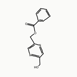 O=C(OCc1cnc(CO)cn1)c1ccccc1